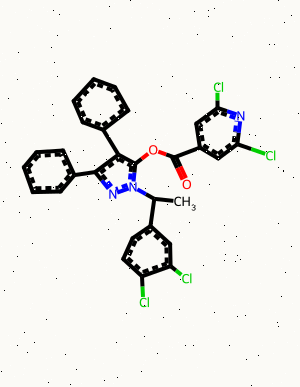 CC(c1ccc(Cl)c(Cl)c1)n1nc(-c2ccccc2)c(-c2ccccc2)c1OC(=O)c1cc(Cl)nc(Cl)c1